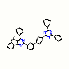 C[Si]1(C)c2ccccc2-c2nc(-c3cccc(-c4ccc(-c5nc(-c6ccccc6)nc(-c6ccccc6)n5)cc4)c3)nc(-c3ccccc3)c21